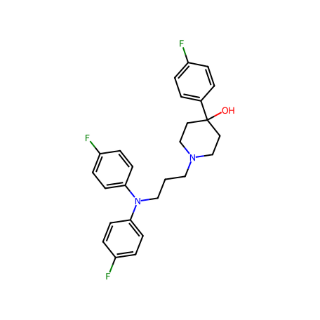 OC1(c2ccc(F)cc2)CCN(CCCN(c2ccc(F)cc2)c2ccc(F)cc2)CC1